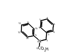 O=C(O)N(Cc1ccccc1)c1c[c]ccc1